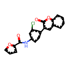 O=C(Nc1ccc(-c2cc3ccccc3oc2=O)c(Cl)c1)c1ccco1